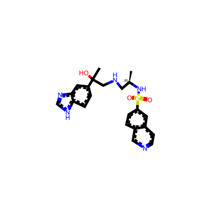 C[C@H](CNCC(C)(O)c1ccc2[nH]cnc2c1)NS(=O)(=O)c1ccc2cnccc2c1